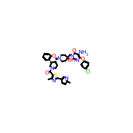 Cc1ccc(-c2nc(C)c(C(=O)N3CC[C@@H](C(=O)N4CCC(O)(Cn5cnc(Oc6ccc(Cl)cc6)c(N)c5=O)CC4)[C@H](c4ccccc4)C3)s2)cn1